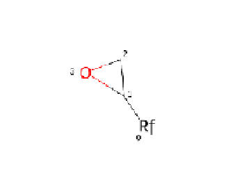 [Rf][CH]1CO1